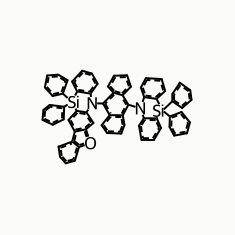 c1ccc([Si]2(c3ccccc3)c3ccccc3N(c3c4ccccc4c(N4c5ccccc5[Si](c5ccccc5)(c5ccccc5)c5cc6c(cc54)oc4ccccc46)c4ccccc34)c3ccccc32)cc1